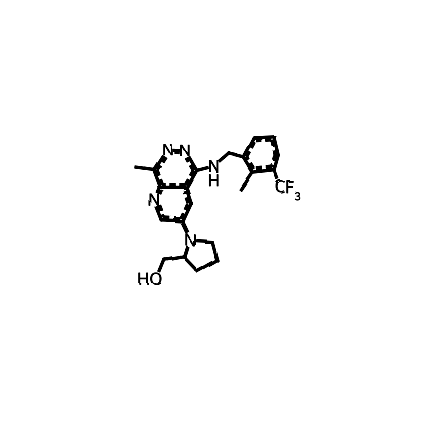 Cc1c(CNc2nnc(C)c3ncc(N4CCCC4CO)cc23)cccc1C(F)(F)F